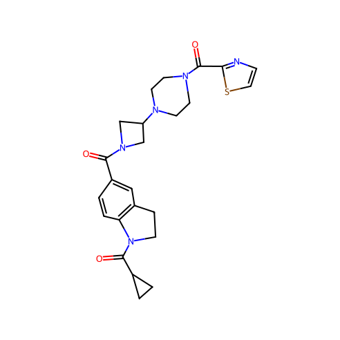 O=C(c1ccc2c(c1)CCN2C(=O)C1CC1)N1CC(N2CCN(C(=O)c3nccs3)CC2)C1